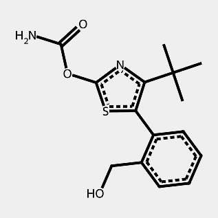 CC(C)(C)c1nc(OC(N)=O)sc1-c1ccccc1CO